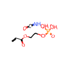 C=CC(=O)OCCOP(=O)(O)O.N=C=O